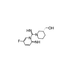 N=C(N1CCC[C@@H](CO)C1)n1cc(F)ccc1=N